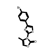 Cc1coc(=O)n1-c1nc(-c2ccc(Br)cc2)cs1